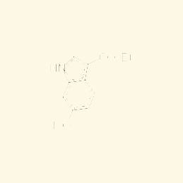 CCOC(=O)c1c[nH]c2cc(O)ccc12